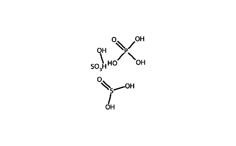 O=P(O)(O)O.O=S(=O)(O)O.O=S(O)O